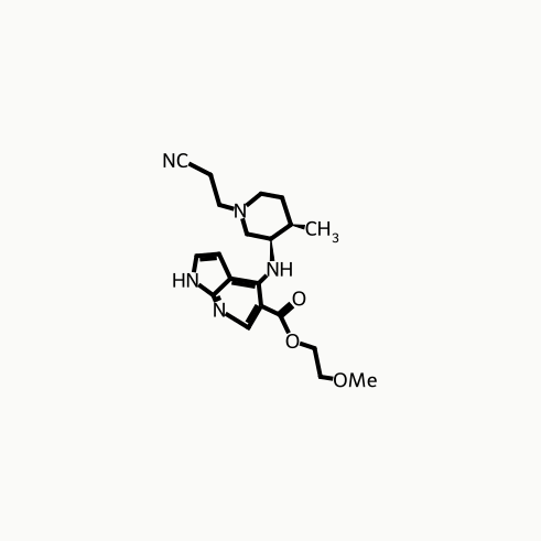 COCCOC(=O)c1cnc2[nH]ccc2c1N[C@H]1CN(CCC#N)CC[C@H]1C